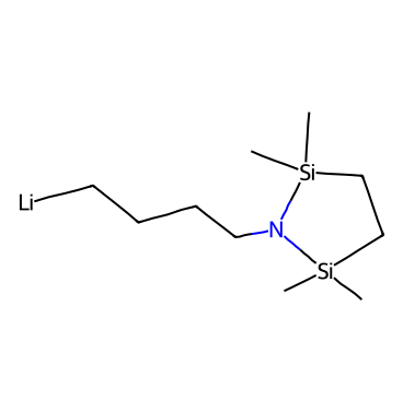 [Li][CH2]CCCN1[Si](C)(C)CC[Si]1(C)C